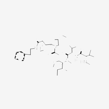 CC[C@H](C)[C@@H]([C@@H](CC(=O)N1C[C@@H](OC)C[C@H]1[C@H](OC)[C@@H](C)C(=O)NCCc1ccccc1)OC)N(C)C(=O)[C@@H](NC(=O)[C@@H](NC)C(C)C)C(C)C